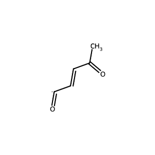 CC(=O)C=C[C]=O